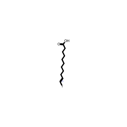 O=C(O)CCCCCCCC/C=C/I